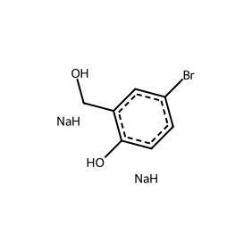 OCc1cc(Br)ccc1O.[NaH].[NaH]